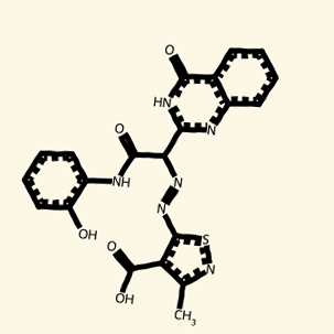 Cc1nsc(N=NC(C(=O)Nc2ccccc2O)c2nc3ccccc3c(=O)[nH]2)c1C(=O)O